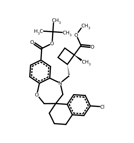 COC(=O)[C@@]1(C)CC[C@H]1CN1CC2(CCCc3cc(Cl)ccc32)COc2ccc(C(=O)OC(C)(C)C)cc21